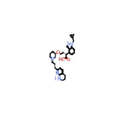 O=C(O)[C@H](CCO[C@@H]1CCCN(CCCc2ccc3c(n2)NCCC3)C1)c1cccc2c1cnn2CC1CC1